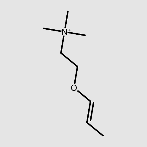 C/C=C/OCC[N+](C)(C)C